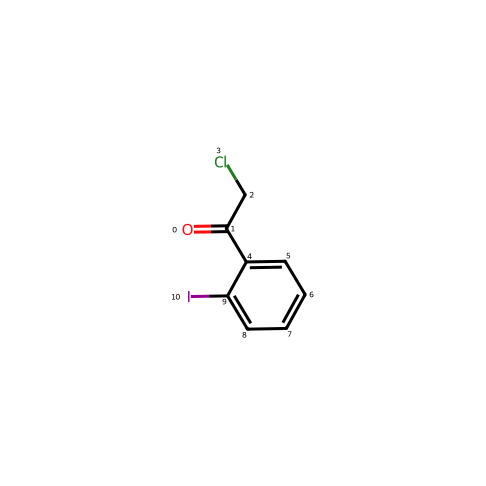 O=C(CCl)c1ccccc1I